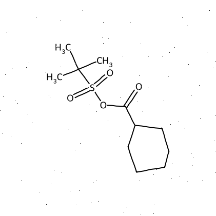 CC(C)(C)S(=O)(=O)OC(=O)C1CCCCC1